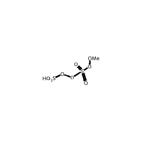 COOS(=O)(=O)OOS(=O)(=O)O